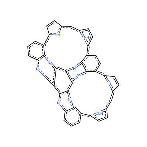 C1=Cc2nc1cc1ccc([nH]1)c1ccc3c4nc(cc5ccc([nH]5)c5cccc6nc7c8nc9cccc2c9nc8c2nc1c3nc2c7nc65)C=C4